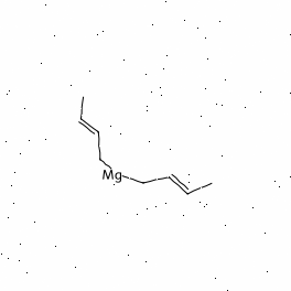 CC=C[CH2][Mg][CH2]C=CC